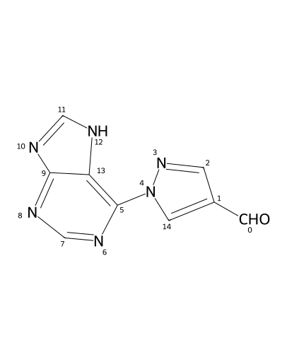 O=Cc1cnn(-c2ncnc3nc[nH]c23)c1